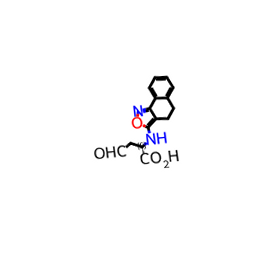 O=CC[C@H](Nc1onc2c1CCc1ccccc1-2)C(=O)O